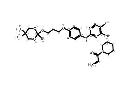 C=CC(=O)N1CCC[C@@H](Nc2nc(Nc3ccc(OCCCOC4(CC)OCC(C)(C)CO4)cc3)ncc2F)C1